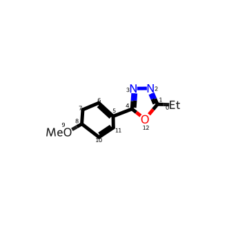 CCc1nnc(C2=CCC(OC)C=C2)o1